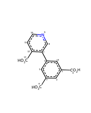 O=C(O)c1cc(C(=O)O)cc(-c2cnccc2C(=O)O)c1